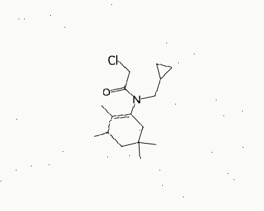 CC1=C(N(CC2CC2)C(=O)CCl)CC(C)(C)CC1C